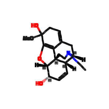 COC1(O)CC=C2C[C@@H]3[C@@H]4C=C[C@H](O)[C@@H]5OC1=C2[C@]45CCN3C